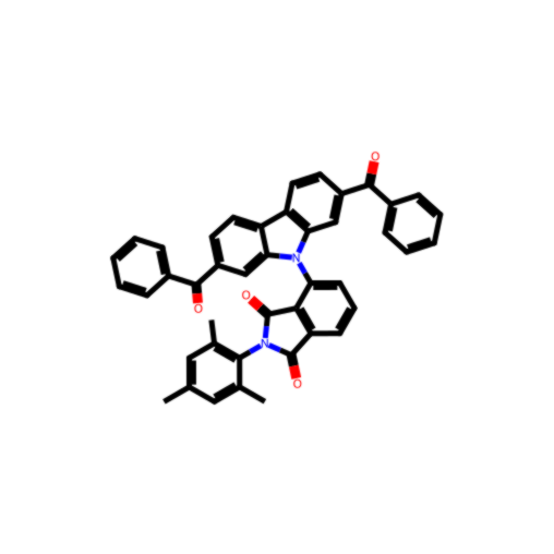 Cc1cc(C)c(N2C(=O)c3cccc(-n4c5cc(C(=O)c6ccccc6)ccc5c5ccc(C(=O)c6ccccc6)cc54)c3C2=O)c(C)c1